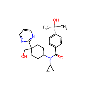 CC(O)(c1ccc(C(=O)N(C2CC2)C2CCC(CO)(c3ncccn3)CC2)cc1)C(F)(F)F